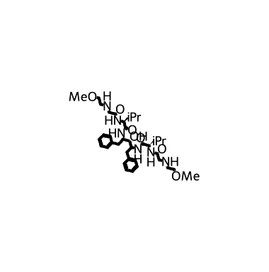 COCCNCC(=O)N[C@H](C(=O)NC(Cc1ccccc1)C(O)C(Cc1ccccc1)NC(=O)[C@@H](NC(=O)CNCCOC)C(C)C)C(C)C